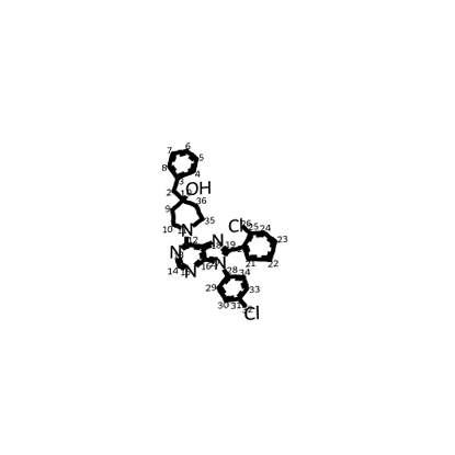 OC1(Cc2ccccc2)CCN(c2ncnc3c2nc(-c2ccccc2Cl)n3-c2ccc(Cl)cc2)CC1